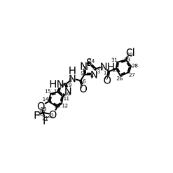 O=C(Nc1nc(C(=O)Nc2nc3cc4c(cc3[nH]2)OC(F)(F)O4)ns1)c1cccc(Cl)c1